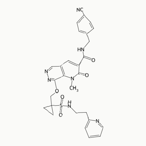 Cn1c(=O)c(C(=O)NCc2ccc(C#N)cc2)cc2cnnc(OCC3(S(=O)(=O)NCCc4ccccn4)CC3)c21